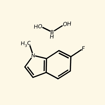 Cn1ccc2ccc(F)cc21.OBO